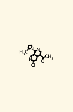 CC(=O)c1cnc(N2CC[C@H]2C)c2cnc(Cl)cc12